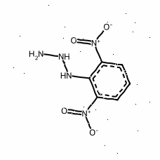 NNNc1c([N+](=O)[O-])cccc1[N+](=O)[O-]